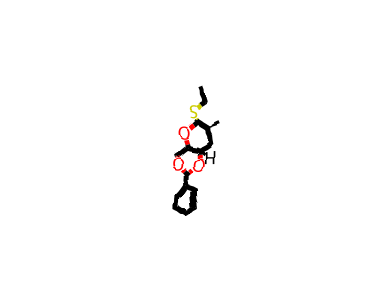 CCSC1OC2COC(c3ccccc3)O[C@H]2C[C@@H]1C